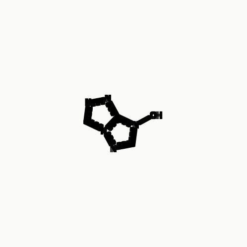 On1cnn2cnnc12